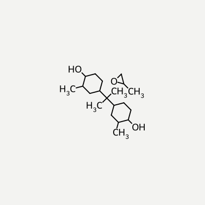 CC1CC(C(C)(C)C2CCC(O)C(C)C2)CCC1O.CC1CO1